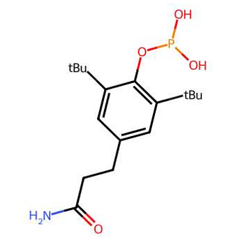 CC(C)(C)c1cc(CCC(N)=O)cc(C(C)(C)C)c1OP(O)O